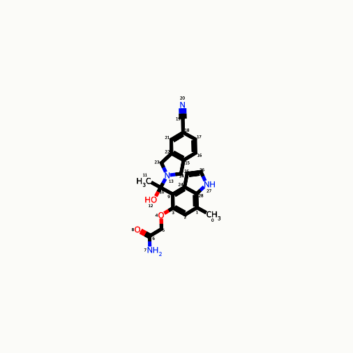 Cc1cc(OCC(N)=O)c(C(C)(O)N2Cc3ccc(C#N)cc3C2)c2cc[nH]c12